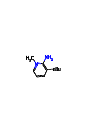 CCCCc1ccc[n+](C)c1N